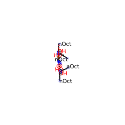 CCCCCCCC/C=C\CCCCCC[C@@H](O)CN(CCCCC(=O)OCCN1CCN(CCSSCCCN(C[C@@H](O)CCCCCC/C=C\CCCCCCCC)C[C@@H](O)CCCCCC/C=C\CCCCCCCC)CC1)C[C@H](O)CCCCCC/C=C\CCCCCCCC